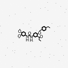 CCC(=O)c1cc(NC(=O)Nc2ccc(OC)c(OC)c2)ccc1OCc1ccc(CC)cc1